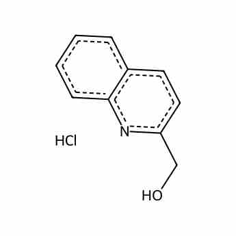 Cl.OCc1ccc2ccccc2n1